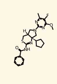 COc1nc(N2C[C@H]3CSC(NC(=O)c4ccccc4)=N[C@@]3(C3CCCC3)C2)nc(C)c1F